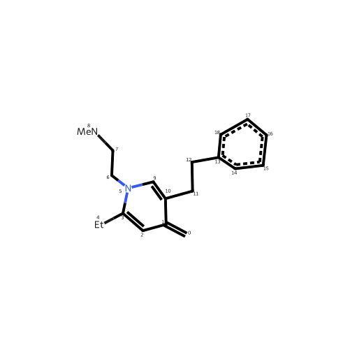 C=C1C=C(CC)N(CCNC)C=C1CCc1ccccc1